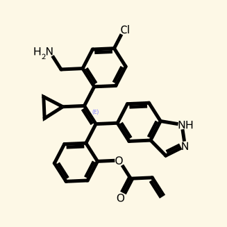 C=CC(=O)Oc1ccccc1/C(=C(/c1ccc(Cl)cc1CN)C1CC1)c1ccc2[nH]ncc2c1